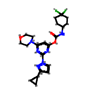 O=C(NC1CCC(F)(F)CC1)Oc1cc(N2CCOCC2)nc(-n2ccc(C3CC3)n2)n1